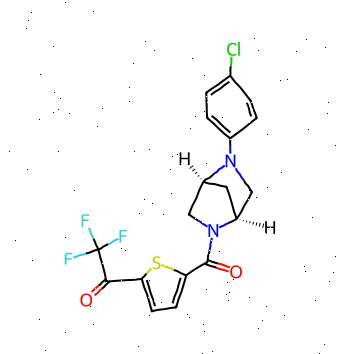 O=C(c1ccc(C(=O)C(F)(F)F)s1)N1C[C@@H]2C[C@H]1CN2c1ccc(Cl)cc1